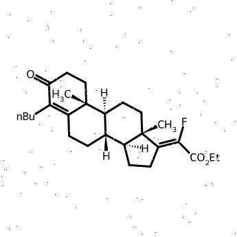 CCCCC1=C2CC[C@@H]3[C@H](CC[C@]4(C)C(=C(F)C(=O)OCC)CC[C@@H]34)[C@@]2(C)CCC1=O